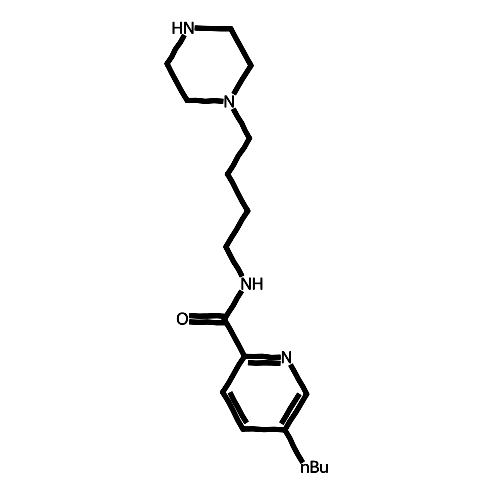 CCCCc1ccc(C(=O)NCCCCN2CCNCC2)nc1